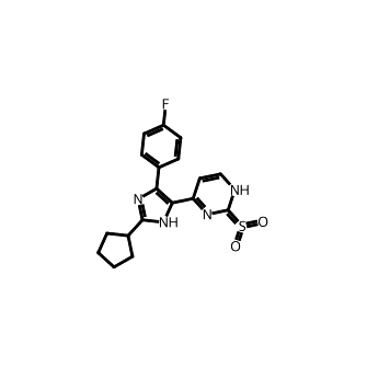 O=S(=O)=c1nc(-c2[nH]c(C3CCCC3)nc2-c2ccc(F)cc2)cc[nH]1